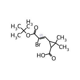 CC(C)(C)OC(=O)/C(Br)=C/C1C(C(=O)O)C1(C)C